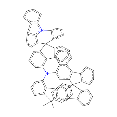 CC1(C)c2ccccc2-c2c(N(c3cccc4c3-c3ccccc3C43c4ccccc4-n4c5ccccc5c5cccc3c54)c3cc4c(c5ccccc35)-c3ccccc3C43c4ccccc4-c4ccccc43)cccc21